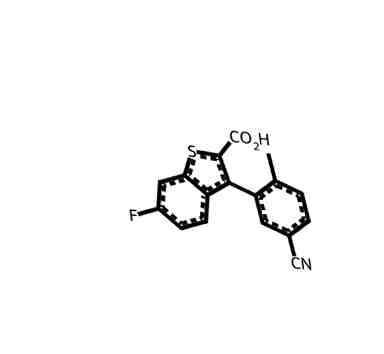 Cc1ccc(C#N)cc1-c1c(C(=O)O)sc2cc(F)ccc12